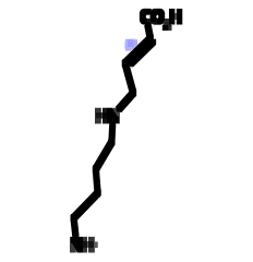 [NH]CCCCNC/C=C/C(=O)O